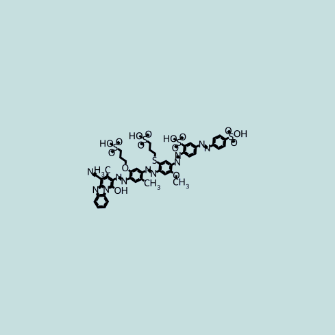 COc1cc(N=Nc2cc(OCCCS(=O)(=O)O)c(N=Nc3c(C)c(C#N)c4nc5ccccc5n4c3O)cc2C)c(SCCCS(=O)(=O)O)cc1N=Nc1ccc(N=Nc2ccc(S(=O)(=O)O)cc2)cc1S(=O)(=O)O